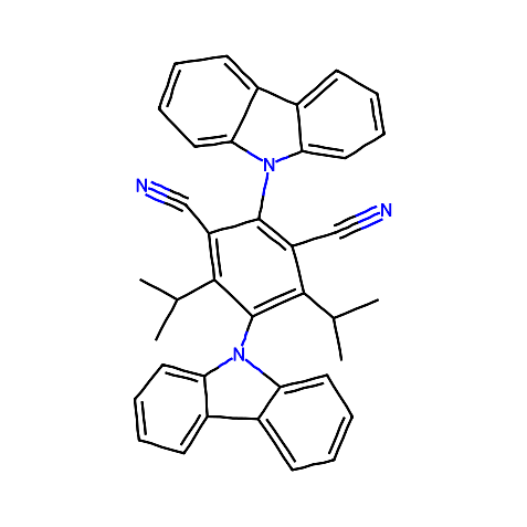 CC(C)c1c(C#N)c(-n2c3ccccc3c3ccccc32)c(C#N)c(C(C)C)c1-n1c2ccccc2c2ccccc21